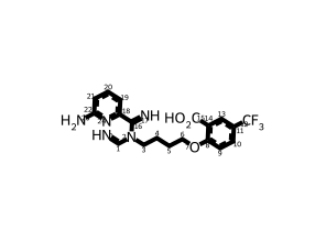 N=CN(CCCCOc1ccc(C(F)(F)F)cc1C(=O)O)C(=N)c1cccc(N)n1